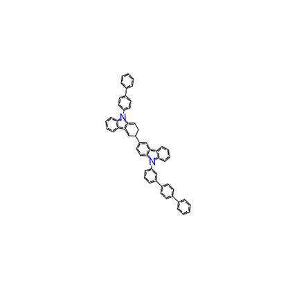 C1=c2c(n(-c3ccc(-c4ccccc4)cc3)c3ccccc23)=CCC1c1ccc2c(c1)c1ccccc1n2-c1cccc(-c2ccc(-c3ccccc3)cc2)c1